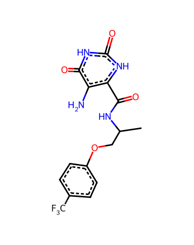 CC(COc1ccc(C(F)(F)F)cc1)NC(=O)c1[nH]c(=O)[nH]c(=O)c1N